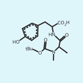 CC(C(=O)NC(Cc1ccc(O)cc1)C(=O)O)N(C)C(=O)OC(C)(C)C